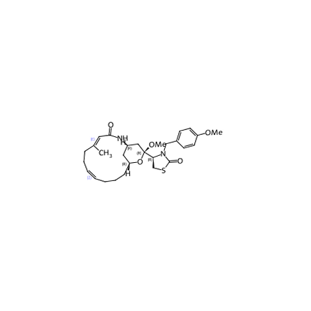 COc1ccc(CN2C(=O)SC[C@H]2[C@@]2(OC)C[C@H]3C[C@@H](CCC/C=C\CC/C(C)=C/C(=O)N3)O2)cc1